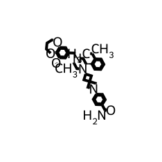 COc1cc(CN2CCN(C3CC4(C3)CN(c3ccc(C(N)=O)cc3)C4)[C@H](c3ccccc3C(C)C)C2)cc2c1OCCCO2